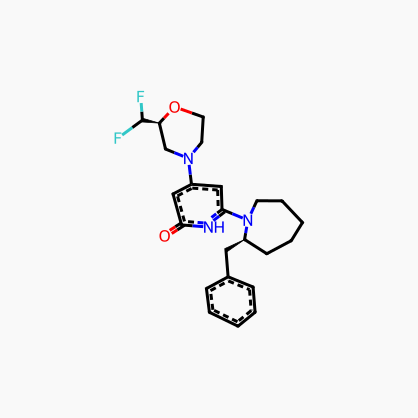 O=c1cc(N2CCO[C@H](C(F)F)C2)cc(N2CCCCC[C@H]2Cc2ccccc2)[nH]1